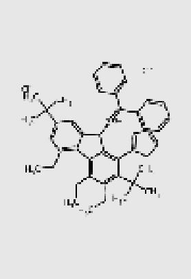 CCc1cc(C(C)(C)C)cc2c1-c1c(CC)c(CC)c(C(C)(C)C)c(C3=CC=CC3)c1[CH]2[Zr+2]=[C](c1ccccc1)c1ccccc1.[Cl-].[Cl-]